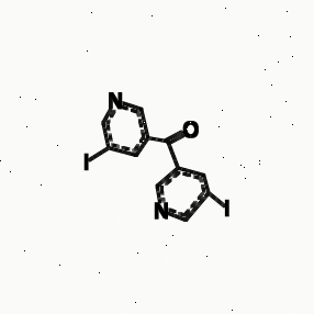 O=C(c1cncc(I)c1)c1cncc(I)c1